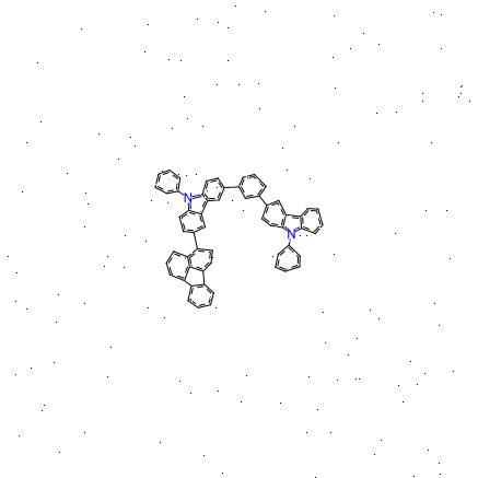 c1ccc(-n2c3ccccc3c3cc(-c4cccc(-c5ccc6c(c5)c5cc(-c7ccc8c9c(cccc79)-c7ccccc7-8)ccc5n6-c5ccccc5)c4)ccc32)cc1